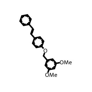 COc1cc(COc2ccc(C=Cc3ccccc3)cc2)cc(OC)c1